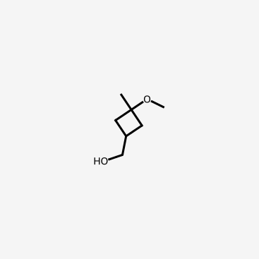 COC1(C)CC(CO)C1